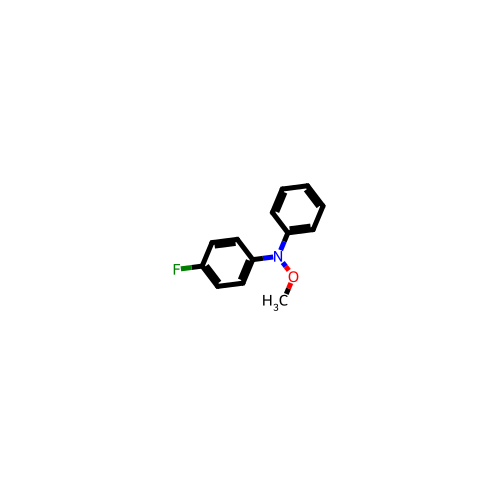 CON(c1ccccc1)c1ccc(F)cc1